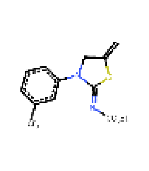 C=C1CN(c2cccc(C(F)(F)F)c2)/C(=N/C(=O)OCC)S1